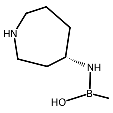 CB(O)N[C@H]1CCCNCC1